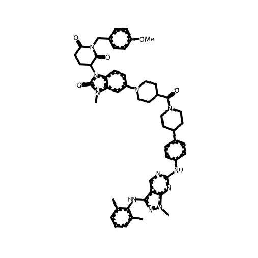 COc1ccc(CN2C(=O)CCC(n3c(=O)n(C)c4cc(N5CCC(C(=O)N6CCC(c7ccc(Nc8ncc9c(Nc%10c(C)cccc%10C)nn(C)c9n8)cc7)CC6)CC5)ccc43)C2=O)cc1